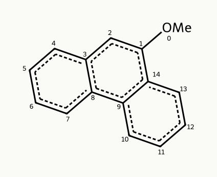 COc1cc2ccccc2c2ccccc12